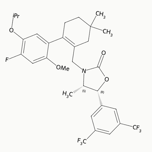 COc1cc(F)c(OC(C)C)cc1C1=C(CN2C(=O)O[C@H](c3cc(C(F)(F)F)cc(C(F)(F)F)c3)[C@@H]2C)CC(C)(C)CC1